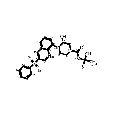 C[C@H]1CN(C(=O)OC(C)(C)C)CCN1c1cccc2cc(S(=O)(=O)c3ccccc3)cnc12